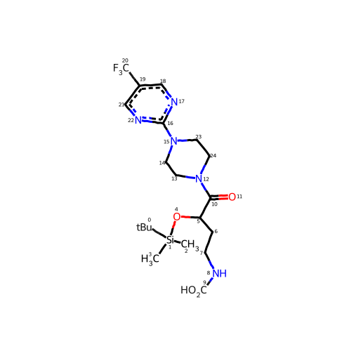 CC(C)(C)[Si](C)(C)OC(CCNC(=O)O)C(=O)N1CCN(c2ncc(C(F)(F)F)cn2)CC1